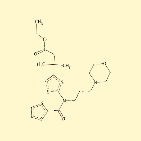 CCOC(=O)CC(C)(C)c1csc(N(CCCN2CCOCC2)C(=O)c2cccs2)n1